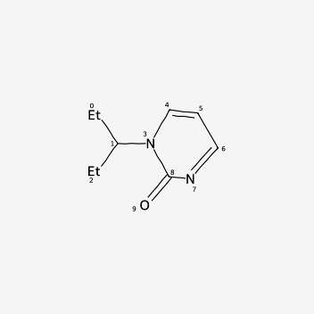 CCC(CC)n1cccnc1=O